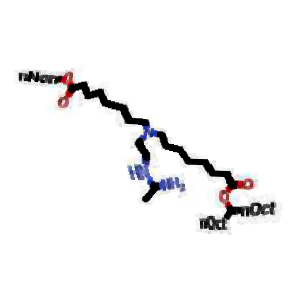 CCCCCCCCCOC(=O)CCCCCCCN(CCCCCCCC(=O)OC(CCCCCCCC)CCCCCCCC)CCNC(C)N